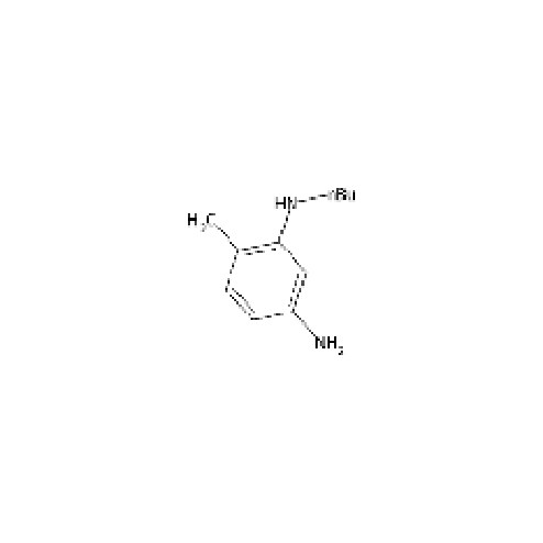 CCCCNc1cc(N)ccc1C